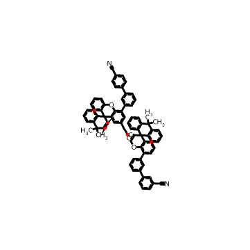 CC1(C)c2ccccc2C2(c3cc(-c4cc(-c5cccc(-c6ccc(C#N)cc6)c5)c5c(c4)C4(c6ccccc6O5)c5ccccc5C(C)(C)c5ccccc54)ccc3Oc3c(-c4cccc(-c5cccc(C#N)c5)c4)cccc32)c2ccccc21